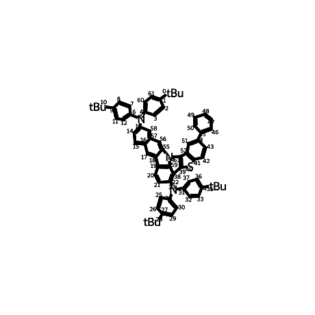 CC(C)(C)c1ccc(N(c2ccc(C(C)(C)C)cc2)c2ccc3cc4c5ccc(N(c6ccc(C(C)(C)C)cc6)c6ccc(C(C)(C)C)cc6)c6c7sc8ccc(-c9ccccc9)cc8c7n(c4cc3c2)c56)cc1